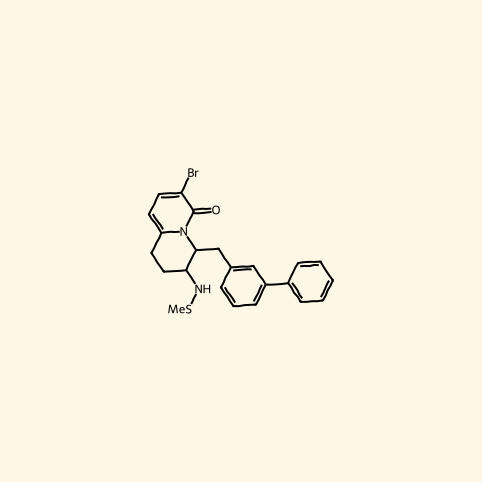 CSNC1CCc2ccc(Br)c(=O)n2C1Cc1cccc(-c2ccccc2)c1